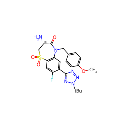 CC(C)(C)n1nnc(-c2cc3c(cc2F)S(=O)(=O)C[C@H](N)C(=O)N3Cc2ccc(OC(F)(F)F)cc2)n1